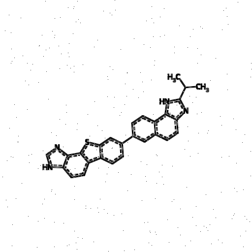 CC(C)c1nc2ccc3cc(-c4ccc5c(c4)sc4c5ccc5[nH]cnc54)ccc3c2[nH]1